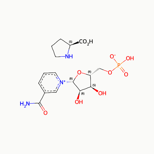 NC(=O)c1ccc[n+]([C@@H]2O[C@H](COP(=O)([O-])O)[C@@H](O)[C@H]2O)c1.O=C(O)[C@@H]1CCCN1